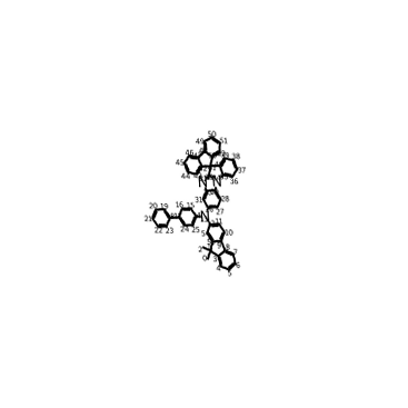 CC1(C)c2ccccc2-c2ccc(N(c3ccc(-c4ccccc4)cc3)c3ccc4c(c3)nc3n4-c4ccccc4C34c3ccccc3-c3ccccc34)cc21